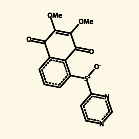 COC1=C(OC)C(=O)c2c(cccc2[S+]([O-])c2ccncn2)C1=O